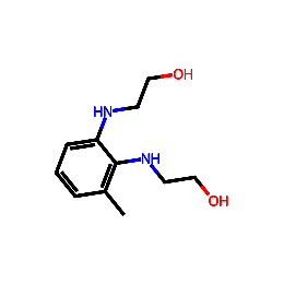 Cc1cccc(NCCO)c1NCCO